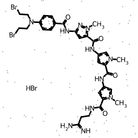 Br.Cn1cc(NC(=O)c2cc(NC(=O)c3cc(NC(=O)c4ccc(N(CCBr)CCBr)cc4)nn3C)cn2C)cc1C(=O)NCCC(=N)N